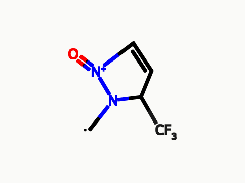 [CH2]N1C(C(F)(F)F)C=C[N+]1=O